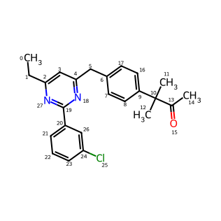 CCc1cc(Cc2ccc(C(C)(C)C(C)=O)cc2)nc(-c2cccc(Cl)c2)n1